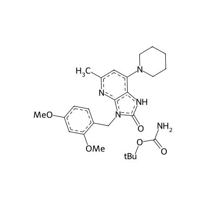 CC(C)(C)OC(N)=O.COc1ccc(Cn2c(=O)[nH]c3c(N4CCCCC4)cc(C)nc32)c(OC)c1